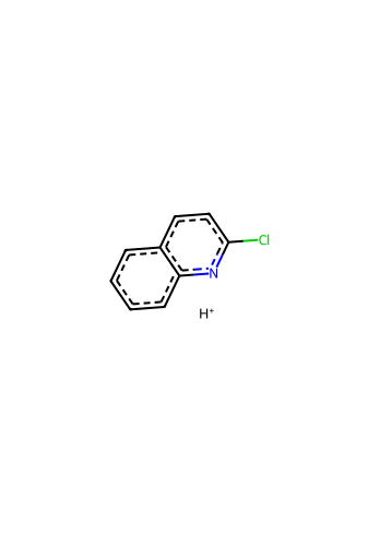 Clc1ccc2ccccc2n1.[H+]